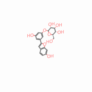 OC[C@H]1O[C@@H](Oc2cc(O)cc(-c3cc4ccc(O)cc4o3)c2)[C@H](O)[C@@H](O)[C@@H]1O